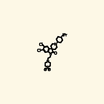 CC(C)[C@H]1CC[C@@H](N2CCC3(CC2)C(=O)N(CCN2CCS(=O)(=O)CC2)c2cc(Cl)c(Cl)cc23)CC1